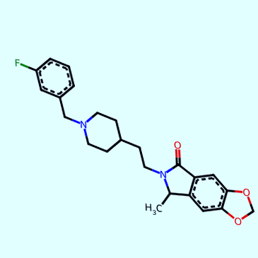 CC1c2cc3c(cc2C(=O)N1CCC1CCN(Cc2cccc(F)c2)CC1)OCO3